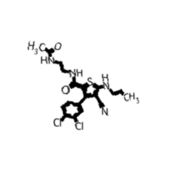 CCCNc1sc(C(=O)NCCNC(C)=O)c(-c2ccc(Cl)c(Cl)c2)c1C#N